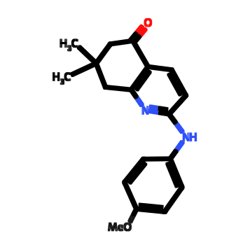 COc1ccc(Nc2ccc3c(n2)CC(C)(C)CC3=O)cc1